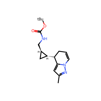 Cc1cc2n(n1)C=CCC2[C@@H]1C[C@H]1CNC(=O)OC(C)(C)C